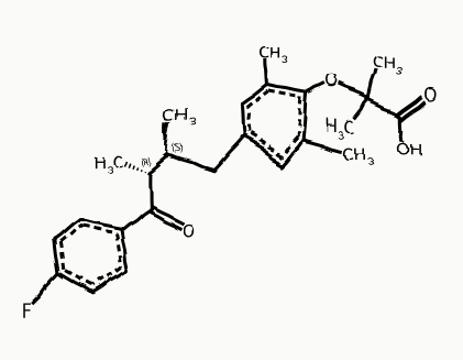 Cc1cc(C[C@H](C)[C@@H](C)C(=O)c2ccc(F)cc2)cc(C)c1OC(C)(C)C(=O)O